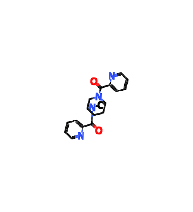 O=C(c1ccccn1)N1CC2CCC1CN2C(=O)c1ccccn1